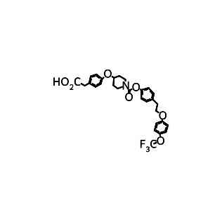 O=C(O)Cc1ccc(OC2CCN(C(=O)Oc3ccc(CCOc4ccc(OC(F)(F)F)cc4)cc3)CC2)cc1